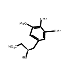 CCC(C)N(CC(=O)O)Cc1cc(OC)c(OC)c(OC)c1